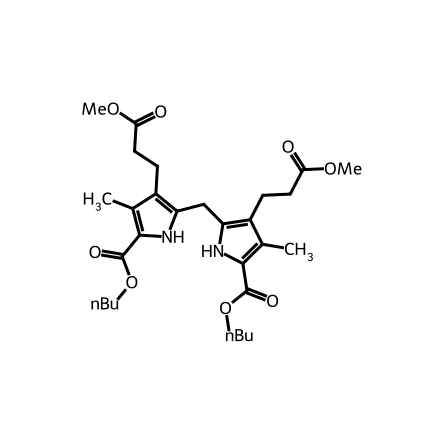 CCCCOC(=O)c1[nH]c(Cc2[nH]c(C(=O)OCCCC)c(C)c2CCC(=O)OC)c(CCC(=O)OC)c1C